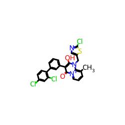 Cc1ccc[n+]2c(=O)c(-c3cccc(-c4ccc(Cl)cc4Cl)c3)c(O)n(Cc3cnc(Cl)s3)c12